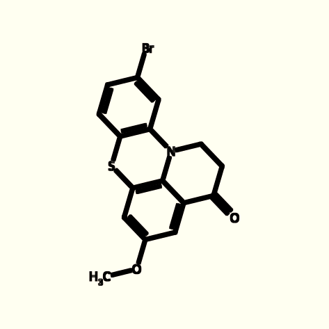 COc1cc2c3c(c1)C(=O)CCN3c1cc(Br)ccc1S2